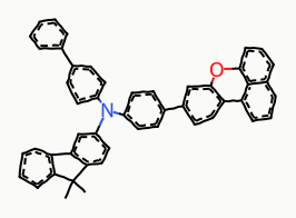 CC1(C)c2ccccc2-c2cc(N(c3ccc(-c4ccccc4)cc3)c3ccc(-c4ccc5c(c4)Oc4cccc6cccc-5c46)cc3)ccc21